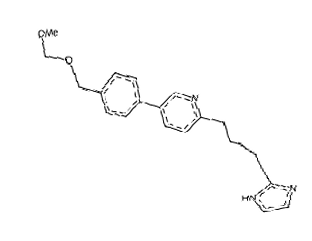 COCOCc1ccc(-c2ccc(CCCc3ncc[nH]3)nc2)cc1